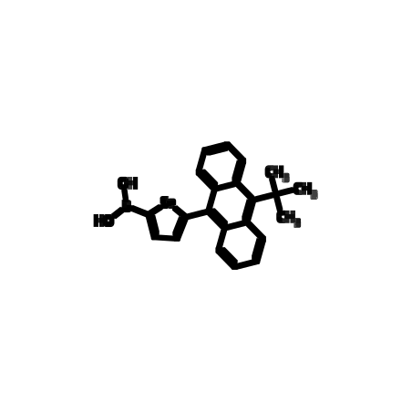 CC(C)(C)c1c2ccccc2c(-c2ccc(B(O)O)[se]2)c2ccccc12